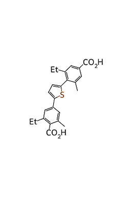 CCc1cc(-c2ccc(-c3c(C)cc(C(=O)O)cc3CC)s2)cc(C)c1C(=O)O